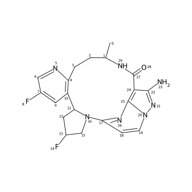 CC1CCc2ncc(F)cc2C2CC(F)CN2c2ccn3nc(N)c(c3n2)C(=O)N1